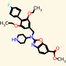 CCOc1cc(CN(c2nc3ccc(C(=O)OC)cc3o2)C2CCNCC2)cc(OCC)c1-c1ccc(F)cc1